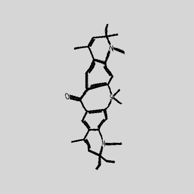 CC1=CC(C)(C)N(C)c2cc3c(cc21)C(=O)c1cc2c(cc1[Si]3(C)C)N(C)C(C)(C)C=C2C